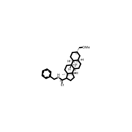 CC[C@@H](NCc1ccccc1)C1CC[C@H]2[C@@H]3CC[C@@H]4C[C@@H](COC)CC[C@@H]4[C@H]3CC[C@]12C